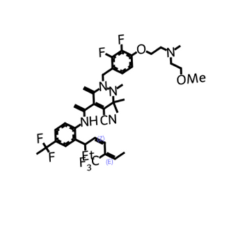 C=C(Nc1ccc(C(C)(F)F)cc1C(/C=C\C(=C/C)C(F)(F)F)CC)C1=C(C#N)C(C)(C)N(C)N(Cc2ccc(OCCN(C)CCOC)c(F)c2F)C1=C